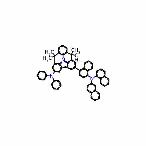 CC1(C)c2cccc3c2-n2c4c1cc(-c1ccc(N(c5ccc6ccccc6c5)c5cccc6ccccc56)c5ccccc15)cc4c1cc(N(c4ccccc4)c4ccccc4)cc(c12)C3(C)C